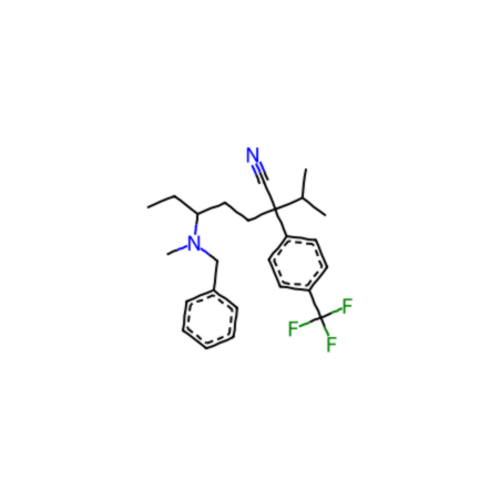 CCC(CCC(C#N)(c1ccc(C(F)(F)F)cc1)C(C)C)N(C)Cc1ccccc1